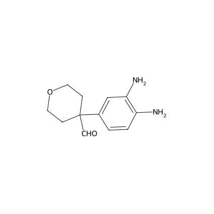 Nc1ccc(C2(C=O)CCOCC2)cc1N